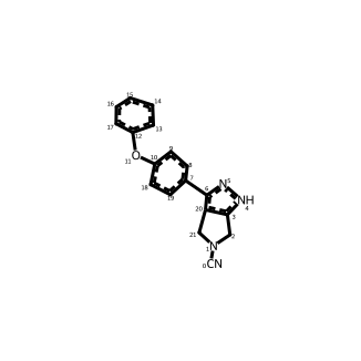 N#CN1Cc2[nH]nc(-c3ccc(Oc4ccccc4)cc3)c2C1